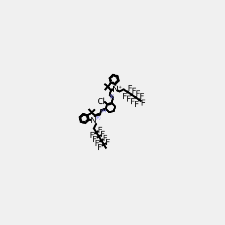 CC1(C)C(/C=C/C2=C(Cl)C(=C/C=C3/N(CCC(F)(F)C(F)(F)C(F)(F)C(C)(F)F)c4ccccc4C3(C)C)/CCC2)=[N+](CCC(F)(F)C(F)(F)C(F)(F)C(F)(F)F)c2ccccc21